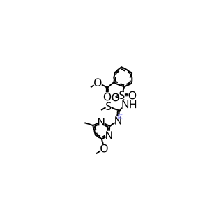 COC(=O)c1ccccc1S(=O)(=O)N/C(=N/c1nc(C)cc(OC)n1)SC